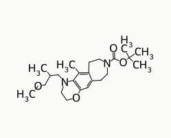 COCC(C)CN1CCOc2cc3c(c(C)c21)CCN(C(=O)OC(C)(C)C)CC3